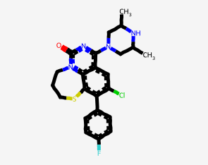 CC1CN(c2nc(=O)n3c4c(c(-c5ccc(F)cc5)c(Cl)cc24)SCCC3)CC(C)N1